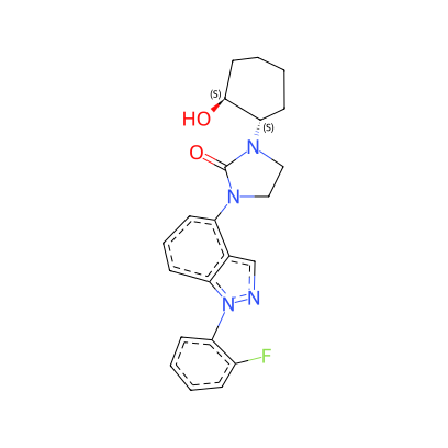 O=C1N(c2cccc3c2cnn3-c2ccccc2F)CCN1[C@H]1CCCC[C@@H]1O